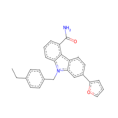 CCc1ccc(Cn2c3cc(-c4ccco4)c[c]c3c3c(C(N)=O)cccc32)cc1